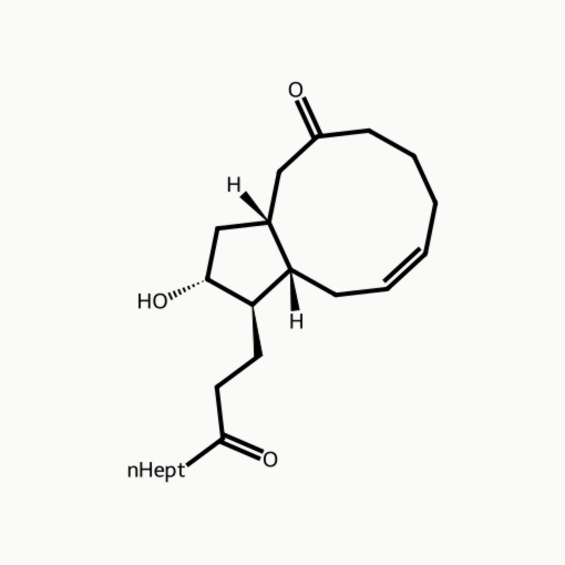 CCCCCCCC(=O)CC[C@@H]1[C@H]2C/C=C\CCCC(=O)C[C@H]2C[C@H]1O